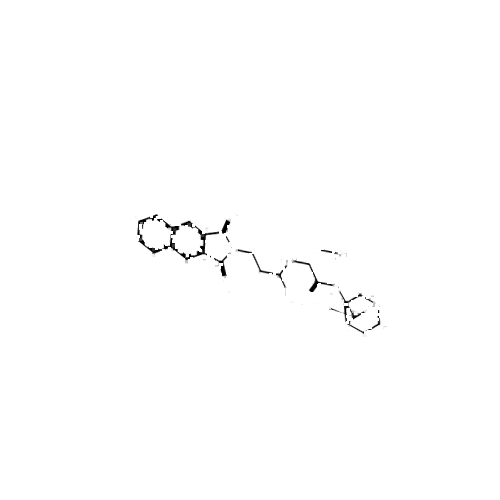 CC(C)C[C@@H](NC(CCN1C(=O)c2cc3ccccc3cc2C1=O)C(=O)O)C(=O)N[C@@H]1CN2CCC1CC2